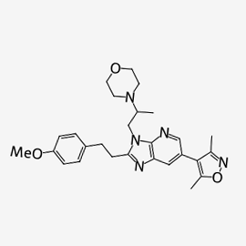 COc1ccc(CCc2nc3cc(-c4c(C)noc4C)cnc3n2CC(C)N2CCOCC2)cc1